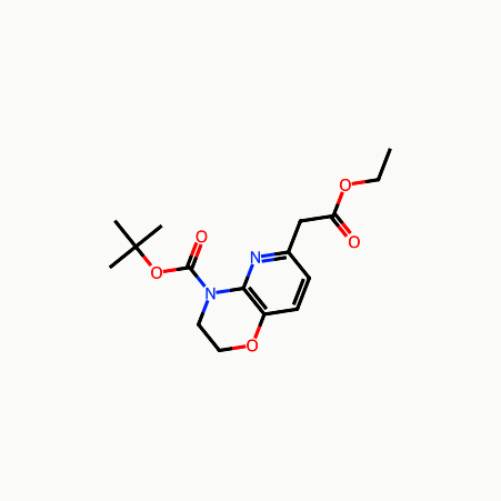 CCOC(=O)Cc1ccc2c(n1)N(C(=O)OC(C)(C)C)CCO2